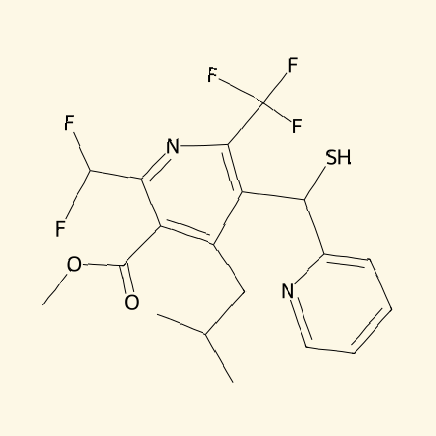 COC(=O)c1c(C(F)F)nc(C(F)(F)F)c(C(S)c2ccccn2)c1CC(C)C